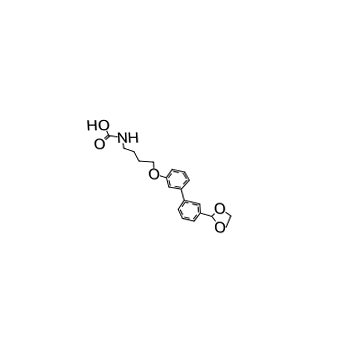 O=C(O)NCCCCOc1cccc(-c2cccc(C3OCCO3)c2)c1